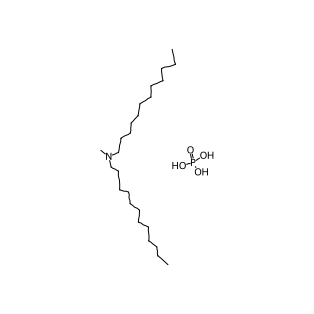 CCCCCCCCCCCCN(C)CCCCCCCCCCCC.O=P(O)(O)O